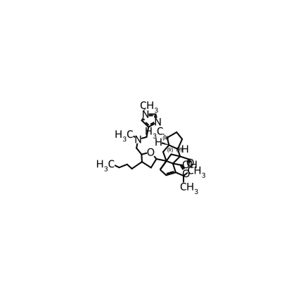 CCCCC1CC(C23C[C@@H]4[C@H](C)CC[C@H]4C4(C=O)CC2C=C(C(C)C)C34C(=O)O)OC1CN(C)Cc1cn(C)cn1